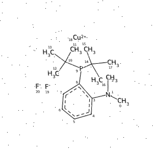 CN(C)c1ccccc1P(C(C)(C)C)C(C)(C)C.[Cu+2].[F-].[F-]